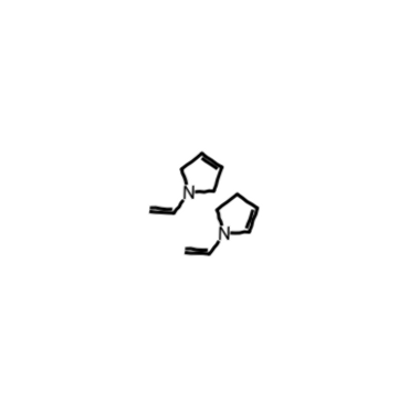 C=CN1C=CCC1.C=CN1CC=CC1